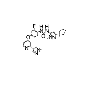 Cn1cc(-c2cc(Oc3ccc(NC(=O)Nc4cc(C5(C)CCCC5)nn4C)c(F)c3)ccn2)cn1